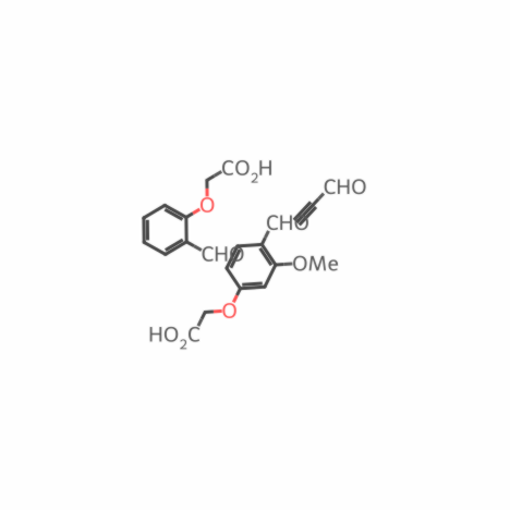 C#CC=O.COc1cc(OCC(=O)O)ccc1C=O.O=Cc1ccccc1OCC(=O)O